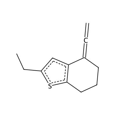 C=C=C1CCCc2sc(CC)cc21